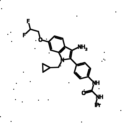 CC(C)NC(=O)Nc1ccc(-c2c(N)c3ccc(OCC(F)F)cc3n2CC2CC2)cc1